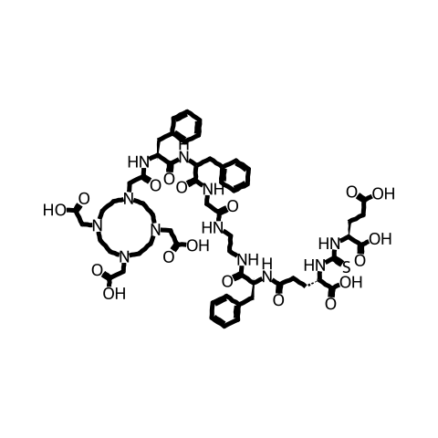 O=C(O)CC[C@H](NC(=S)N[C@@H](CCC(=O)N[C@@H](Cc1ccccc1)C(=O)NCCNC(=O)CNC(=O)C(Cc1ccccc1)NC(=O)[C@H](Cc1ccccc1)NC(=O)CN1CCN(CC(=O)O)CCN(CC(=O)O)CCN(CC(=O)O)CC1)C(=O)O)C(=O)O